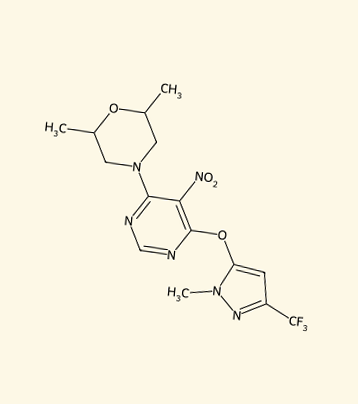 CC1CN(c2ncnc(Oc3cc(C(F)(F)F)nn3C)c2[N+](=O)[O-])CC(C)O1